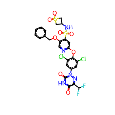 O=c1[nH]c(=O)n(-c2cc(Cl)c(Oc3cc(S(=O)(=O)NC4CS(=O)(=O)C4)c(OCc4ccccc4)cn3)c(Cl)c2)nc1C(F)F